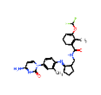 CC1=C(C(=O)NCC2CCC/C2=N\c2ccc(-n3ccc(N)nc3=O)cc2C)CCC=C1OC(F)F